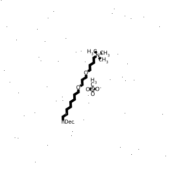 CCCCCCCCCCCCCCCCCCOCCCOCCCC[N+](C)(C)C.CS(=O)(=O)[O-]